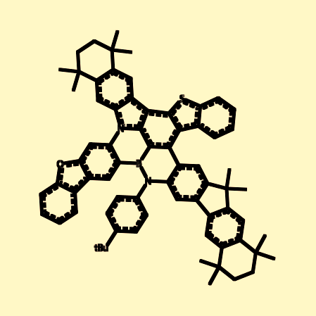 CC(C)(C)c1ccc(N2B3c4cc5c(cc4-n4c6cc7c(cc6c6c8sc9ccccc9c8c(c3c64)-c3cc4c(cc32)-c2cc3c(cc2C4(C)C)C(C)(C)CCC3(C)C)C(C)(C)CCC7(C)C)oc2ccccc25)cc1